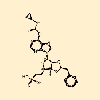 O=C(Nc1ncnc2c1ncn2[C@@H]1O[C@H](CCP(=O)(O)O)[C@@H]2OC(Cc3ccccc3)OC21)NC1CC1